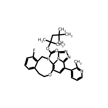 Cc1ncccc1-c1cc2c(n3cnnc13)N(C(=O)OC(C)(C)CC(C)(C)C)Cc1c(F)cccc1CCO2